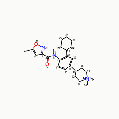 Cc1cc(C(=O)Nc2ccc(C3CC[N+](C)(C)CC3)cc2C2CCCCC2)no1